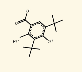 Cc1c(C(=O)[O-])cc(C(C)(C)C)c(O)c1C(C)(C)C.[Na+]